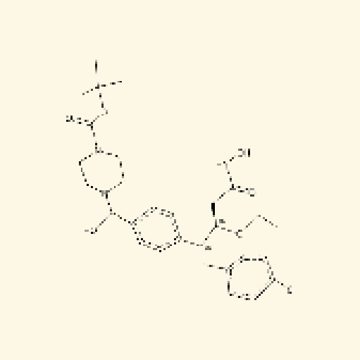 CCO[C@H](CC(=O)NO)[C@H](Cc1ccc(Cl)cc1)c1ccc(C(O)N2CCN(C(=O)OC(C)(C)C)CC2)cc1